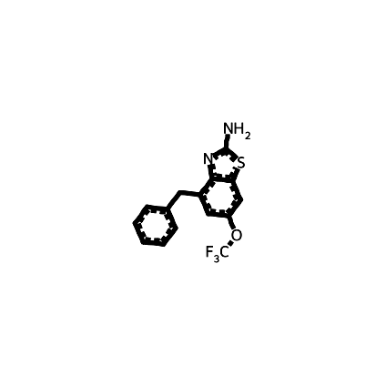 Nc1nc2c(Cc3ccccc3)cc(OC(F)(F)F)cc2s1